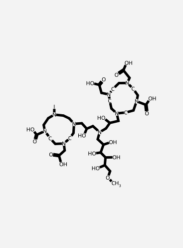 COCC(O)C(O)C(O)C(O)CN(CC(O)CN1CCN(I)CCN(C(=O)O)CCN(CC(=O)O)CC1)CC(O)CN1CCN(CC(=O)O)CCN(CC(=O)O)CCN(C(=O)O)CC1